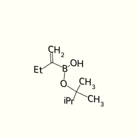 C=C(CC)B(O)OC(C)(C)C(C)C